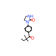 CCC(C)(C)C(=O)c1ccc(N2CCNC2=O)cc1